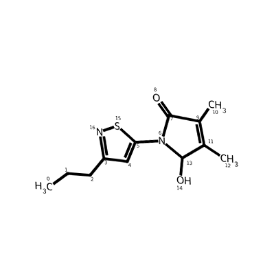 CCCc1cc(N2C(=O)C(C)=C(C)C2O)sn1